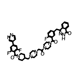 O=C(CN1CCN(CC2CCN(C(=O)c3c(F)cc(-c4ccnnc4)cc3F)CC2)CC1)N1CCN(C(=O)c2cc(Cc3n[nH]c(=O)c4ccccc34)ccc2F)CC1